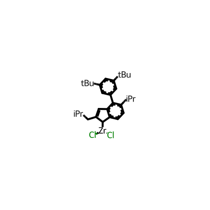 CC(C)CC1=Cc2c(ccc(C(C)C)c2-c2cc(C(C)(C)C)cc(C(C)(C)C)c2)[CH]1[Zr]([Cl])[Cl]